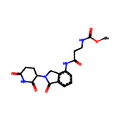 CC(C)(C)OC(=O)NCCC(=O)Nc1cccc2c1CN(C1CCC(=O)NC1=O)C2=O